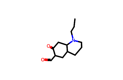 CCCN1CCCC2CC(C=O)C(=O)CC21